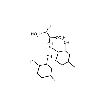 CC1CCC(C(C)C)C(O)C1.CC1CCC(C(C)C)C(O)C1.O=C(O)C(O)C(O)C(=O)O